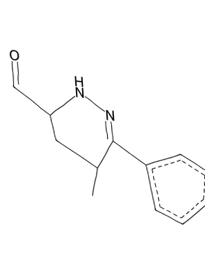 CC1CC(C=O)NN=C1c1ccccc1